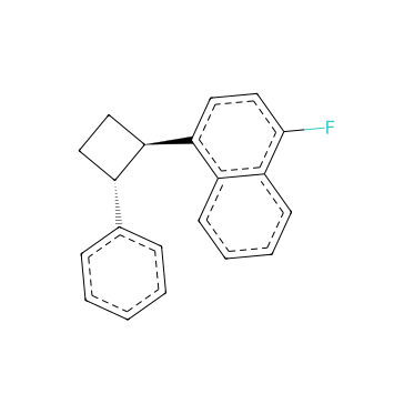 Fc1ccc([C@@H]2CC[C@H]2c2ccccc2)c2ccccc12